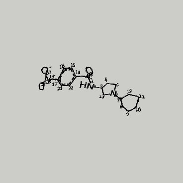 O=C(NC1CCN(C2CCCCC2)C1)c1ccc([N+](=O)[O-])cc1